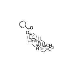 C[C@]12CC[C@@H](OC(=O)c3ccccc3)C[C@H]1CC[C@@H]1[C@@H]2CC[C@]2(C)C(=O)CC[C@@H]12